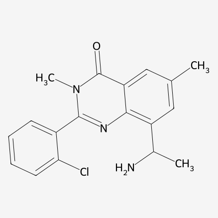 Cc1cc(C(C)N)c2nc(-c3ccccc3Cl)n(C)c(=O)c2c1